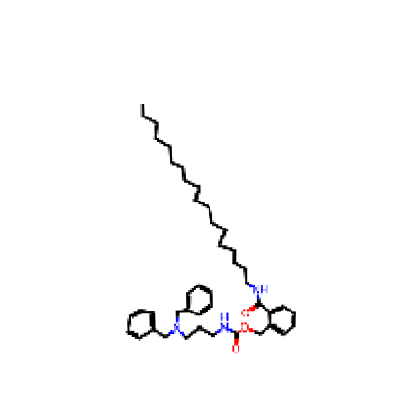 CCCCCCCCCCCCCCCCCCNC(=O)c1ccccc1COC(=O)NCCCN(Cc1ccccc1)Cc1ccccc1